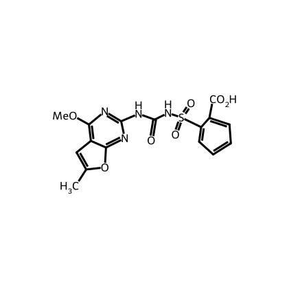 COc1nc(NC(=O)NS(=O)(=O)c2ccccc2C(=O)O)nc2oc(C)cc12